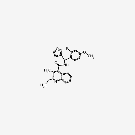 CCc1nc2ccccc2c(C(=O)NC(c2ccon2)c2ccc(OC)cc2F)c1C